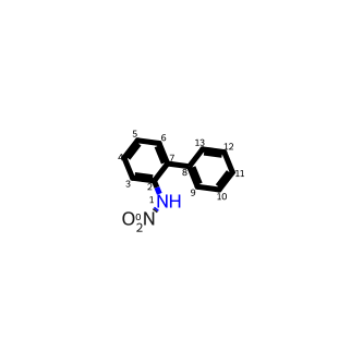 O=[N+]([O-])Nc1ccccc1-c1ccccc1